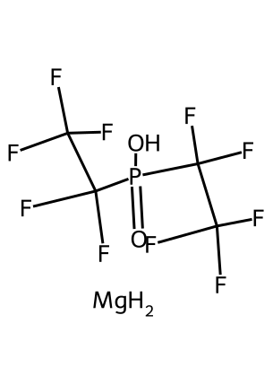 O=P(O)(C(F)(F)C(F)(F)F)C(F)(F)C(F)(F)F.[MgH2]